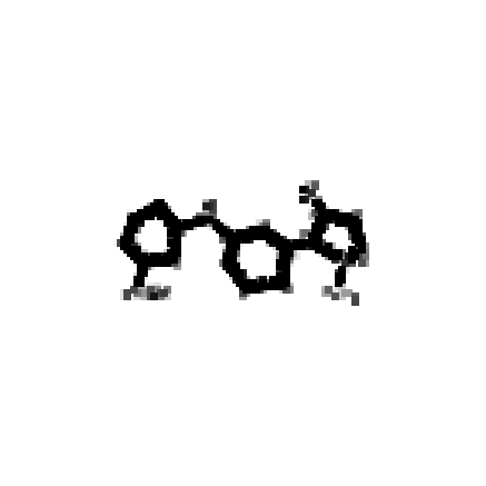 CC(=O)Nc1cccc(Nc2cccc(-c3c(Br)cnn3C)c2)c1